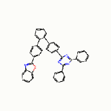 c1ccc(-c2nc(-c3ccccc3)nc(-c3ccc(-c4ccccc4-c4ccc(-c5nc6ccccc6o5)cc4)cc3)n2)cc1